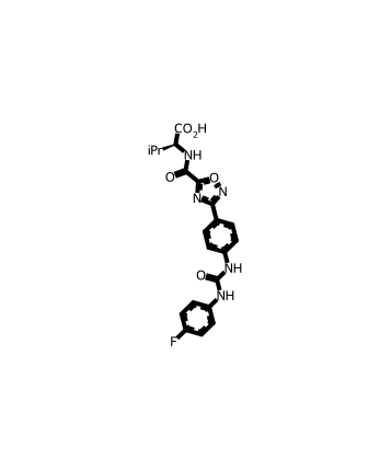 CC(C)[C@H](NC(=O)c1nc(-c2ccc(NC(=O)Nc3ccc(F)cc3)cc2)no1)C(=O)O